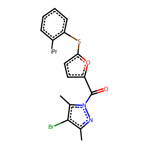 Cc1nn(C(=O)c2ccc(Sc3ccccc3C(C)C)o2)c(C)c1Br